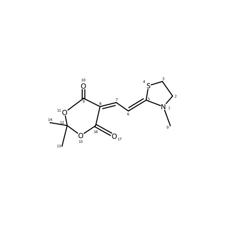 CN1CCS/C1=C\C=C1C(=O)OC(C)(C)OC1=O